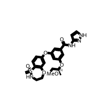 C=S1(=O)NCCOc2cc(Oc3cc(O[C@@H](C)COC)cc(C(=O)Nc4cc[nH]n4)c3)ccc21